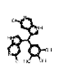 Oc1cc(C(c2c[nH]c3cnc(Cl)cc23)c2c[nH]c3cnc(Cl)cc23)cc(O)c1O